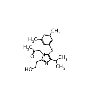 CC(=O)Cn1c(CCO)nc(C(C)C)c1Sc1cc(C)cc(C)c1